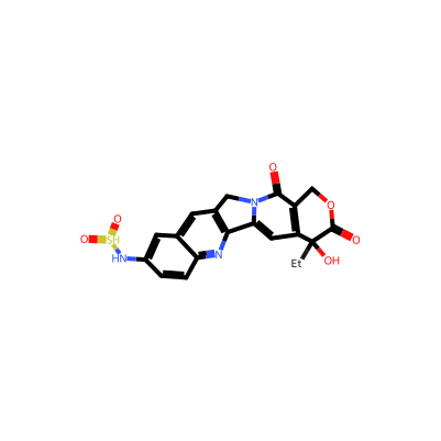 CCC1(O)C(=O)OCc2c1cc1n(c2=O)Cc2cc3cc(N[SH](=O)=O)ccc3nc2-1